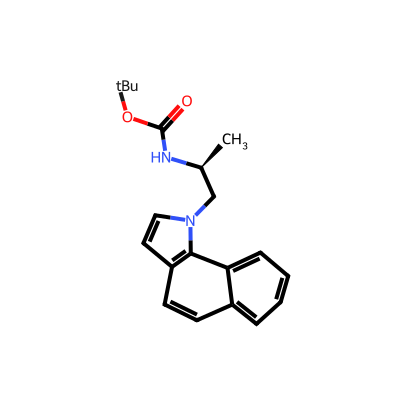 C[C@@H](Cn1ccc2ccc3ccccc3c21)NC(=O)OC(C)(C)C